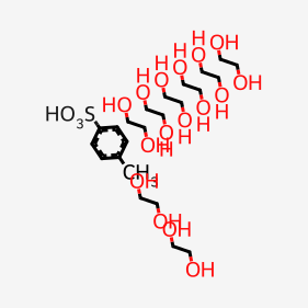 Cc1ccc(S(=O)(=O)O)cc1.OCCO.OCCO.OCCO.OCCO.OCCO.OCCO.OCCO.OCCO